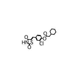 O=C(CC1CCCCC1)Oc1ccc(/C=C2\SC(=O)NC2=O)cc1Cl